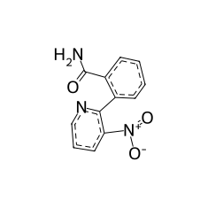 NC(=O)c1ccccc1-c1ncccc1[N+](=O)[O-]